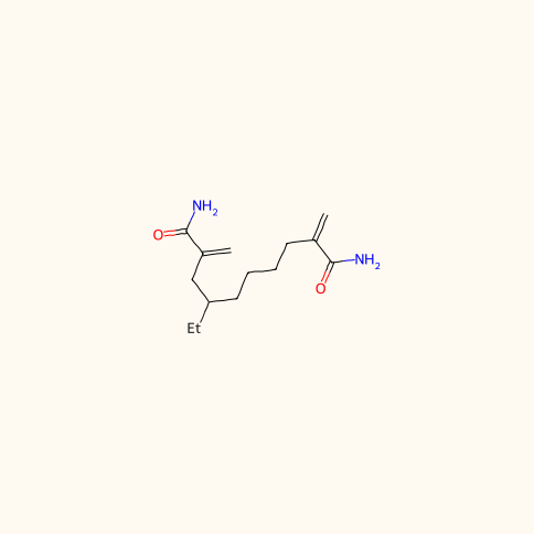 C=C(CCCCC(CC)CC(=C)C(N)=O)C(N)=O